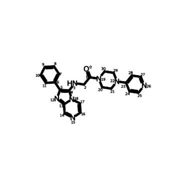 O=C(CNc1c(-c2ccccc2)nc2cnccn12)N1CCN(c2ccncc2)CC1